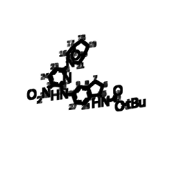 CC(C)(C)OC(=O)N[C@H]1CCc2cc(Nc3nc(N4CC5CCC(C4)O5)ccc3[N+](=O)[O-])ccc21